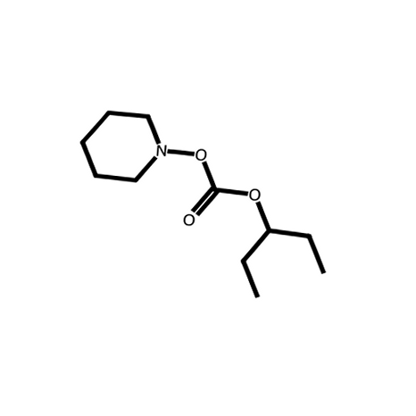 CCC(CC)OC(=O)ON1CCCCC1